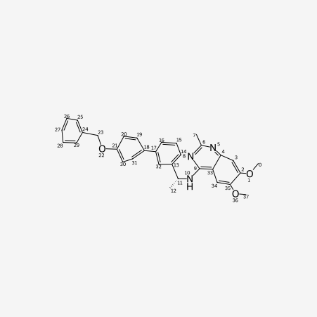 COc1cc2nc(C)nc(N[C@H](C)c3cccc(-c4ccc(OCc5ccccc5)cc4)c3)c2cc1OC